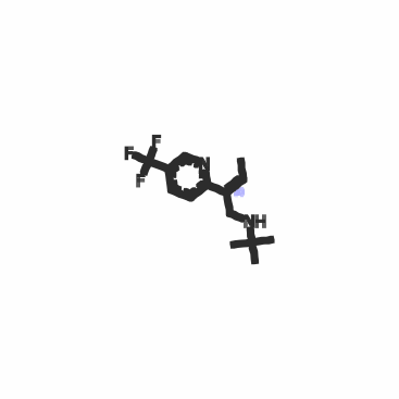 C/C=C(/CNC(C)(C)C)c1ccc(C(F)(F)F)cn1